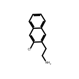 NCCc1cc2ccccc2cc1Cl